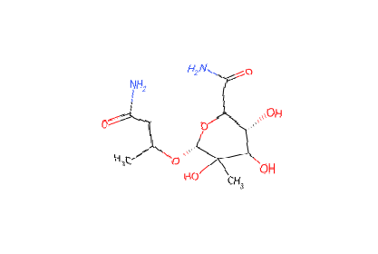 CC(CC(N)=O)O[C@@H]1OC(C(N)=O)[C@H](O)C(O)C1(C)O